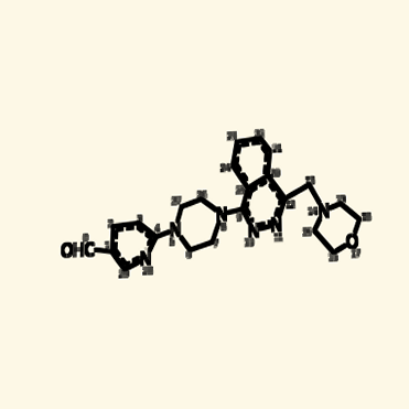 O=Cc1ccc(N2CCN(c3nnc(CN4CCOCC4)c4ccccc34)CC2)nc1